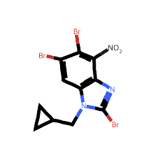 O=[N+]([O-])c1c(Br)c(Br)cc2c1nc(Br)n2CC1CC1